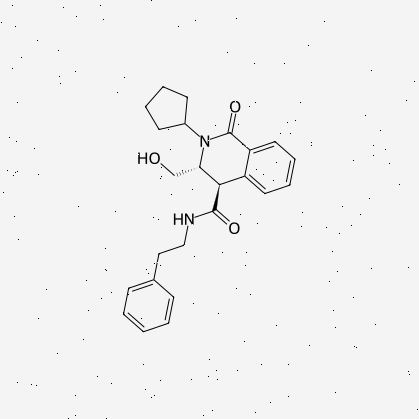 O=C(NCCc1ccccc1)[C@@H]1c2ccccc2C(=O)N(C2CCCC2)[C@H]1CO